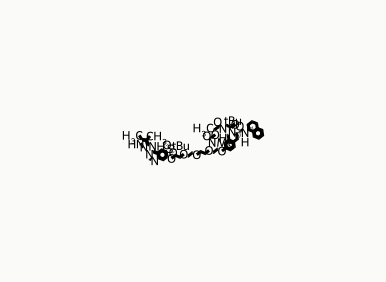 CNC(=O)OC(C)C(=O)NC(C(=O)N1Cc2cc(OCCOCCOCCOCCOc3cc4ncnc(Nc5n[nH]c(C)c5C)c4cc3S(=O)(=O)C(C)(C)C)ccc2C[C@H]1C(=O)N[C@@H]1CCCc2ccccc21)C(C)(C)C